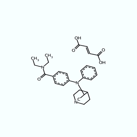 CCN(CC)C(=O)c1ccc(N(c2ccccc2)C2CN3CCC2CC3)cc1.O=C(O)/C=C/C(=O)O